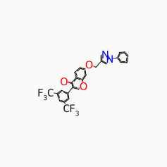 O=c1c(-c2cc(C(F)(F)F)cc(C(F)(F)F)c2)coc2cc(OCc3cnn(-c4ccccc4)c3)ccc12